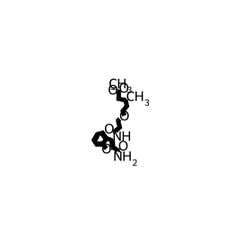 COC(=O)CC(C)CCOCCC(=O)Nc1c(C(N)=O)oc2ccccc12